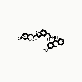 COc1ccc(C(NC(=O)Cc2ccc3oc(C(O)Cc4cc[n+]([O-])cc4F)cc3c2)c2ccccc2)c(C)c1